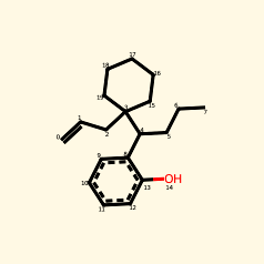 C=CCC1(C(CCC)c2ccccc2O)CCCCC1